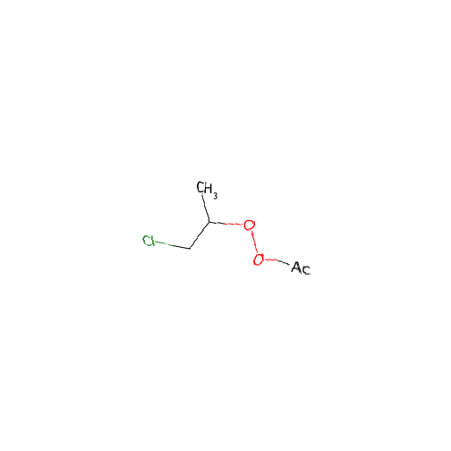 CC(=O)OOC(C)CCl